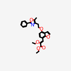 CCOC(=O)C(=Cc1ccc(OCCc2nc(-c3ccccc3)oc2C)c2ccoc12)OCC